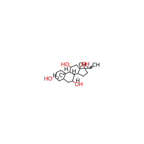 C#C[C@]1(O)CC[C@H]2[C@H]3[C@H]([C@@H](O)C[C@@]21C)[C@@]1(C)CC[C@@H](O)CC1C[C@@H]3O